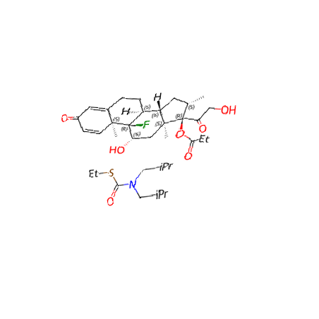 CCC(=O)O[C@]1(C(=O)CO)[C@@H](C)C[C@H]2[C@@H]3CCC4=CC(=O)C=C[C@]4(C)[C@@]3(F)[C@@H](O)C[C@@]21C.CCSC(=O)N(CC(C)C)CC(C)C